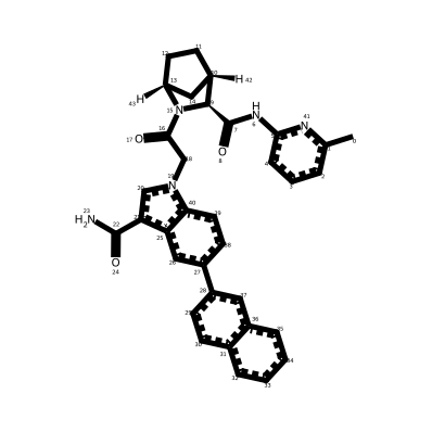 Cc1cccc(NC(=O)[C@@H]2[C@H]3CC[C@H](C3)N2C(=O)Cn2cc(C(N)=O)c3cc(-c4ccc5ccccc5c4)ccc32)n1